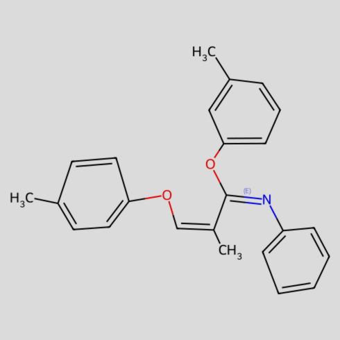 CC(=COc1ccc(C)cc1)/C(=N\c1ccccc1)Oc1cccc(C)c1